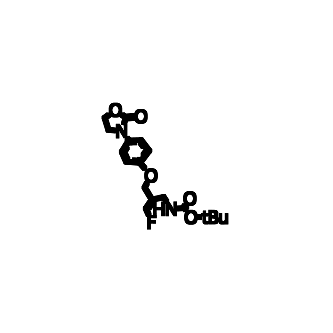 CC(C)(C)OC(=O)NC/C(=C\F)COc1ccc(N2CCOC2=O)cc1